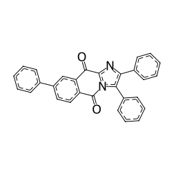 O=C1c2cc(-c3ccccc3)ccc2C(=O)n2c1nc(-c1ccccc1)c2-c1ccccc1